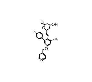 CC(C)c1cc(OCc2ccncc2)cc(-c2ccc(F)cc2)c1/C=C/C1CC(O)CC(=O)O1